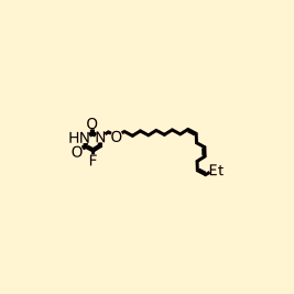 CC/C=C\C/C=C\C/C=C\CCCCCCCCOCn1cc(F)c(=O)[nH]c1=O